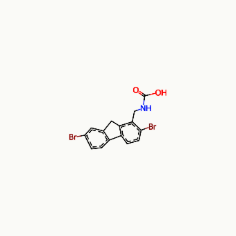 O=C(O)NCc1c(Br)ccc2c1Cc1cc(Br)ccc1-2